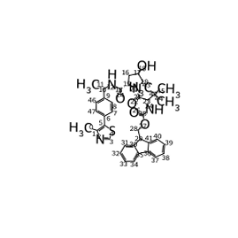 Cc1ncsc1-c1ccc([C@H](C)NC(=O)[C@@H]2C[C@@H](O)CN2C(=O)[C@@H](NC(=O)OCC2c3ccccc3-c3ccccc32)C(C)(C)C)cc1